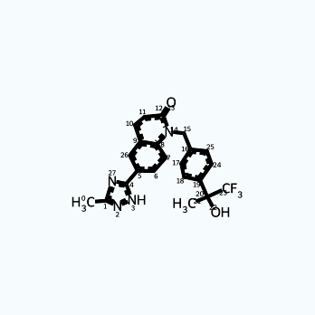 Cc1n[nH]c(-c2ccc3c(ccc(=O)n3Cc3ccc(C(C)(O)C(F)(F)F)cc3)c2)n1